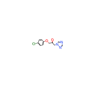 O=C(COc1ccc(Cl)cc1)Cn1cncn1